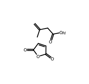 C=C(C)CC(=O)O.O=C1C=CC(=O)O1